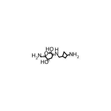 NC[C@H]1O[C@H](O)[C@H](NCC2CC(N)C2)C[C@@H]1O